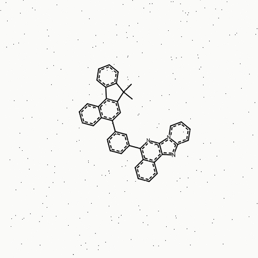 CC1(C)c2ccccc2-c2c1cc(-c1cccc(-c3nc4c(nc5ccccn54)c4ccccc34)c1)c1ccccc21